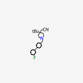 CC(C)(C)C1(CC#N)CCN(Cc2ccc(-c3cccc(F)c3)cc2)CC1